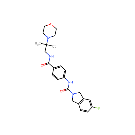 CCC(C)(CNC(=O)c1ccc(NC(=O)N2Cc3ccc(F)cc3C2)cc1)N1CCOCC1